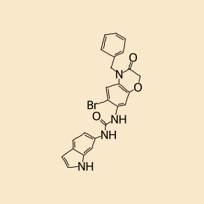 O=C(Nc1ccc2cc[nH]c2c1)Nc1cc2c(cc1Br)N(Cc1ccccc1)C(=O)CO2